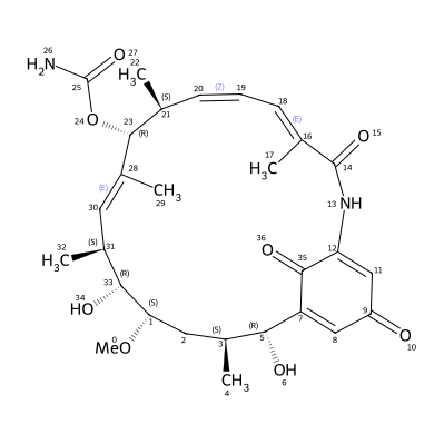 CO[C@H]1C[C@H](C)[C@@H](O)C2=CC(=O)C=C(NC(=O)/C(C)=C/C=C\[C@H](C)[C@@H](OC(N)=O)/C(C)=C/[C@H](C)[C@H]1O)C2=O